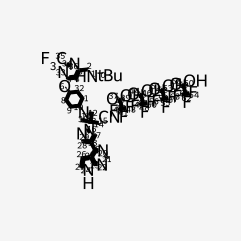 CC(C)(C)NCc1cc(O[C@H]2CC[C@@H](N3CC(CC#N)(n4cc(-c5ncnc6[nH]ccc56)cn4)C3)CC2)nc(C(F)(F)F)n1.O=C(O)C(F)(F)F.O=C(O)C(F)(F)F.O=C(O)C(F)(F)F.O=C(O)C(F)(F)F